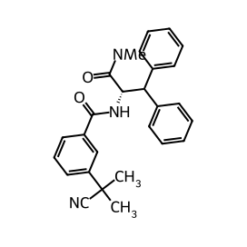 CNC(=O)[C@@H](NC(=O)c1cccc(C(C)(C)C#N)c1)C(c1ccccc1)c1ccccc1